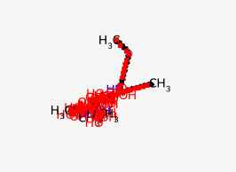 CCCCCCCC/C=C\CCCCCCCCCCCCCCCC(=O)N[C@@H](CO[C@@H]1OC(CO)[C@@H](O[C@@H]2OC(CO)[C@H](O[C@@H]3OC(CO)[C@H](O)[C@H](O[C@@H]4OC(CO[C@@H]5OC(CO)[C@@H](O)[C@H](O[C@H]6C(O)[C@H](O)C(C)O[C@H]6O)C5NC(C)=O)[C@H](O)[C@H](O[C@@H]5OC(CO)[C@H](O)[C@H](O)C5O)C4NC(C)=O)C3O)[C@H](O)C2O)[C@H](O)C1O)[C@H](O)/C=C/CCCCCCCCCCCCC